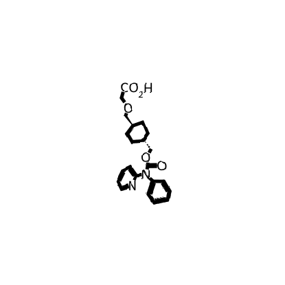 O=C(O)COC[C@H]1CC[C@H](COC(=O)N(c2ccccc2)c2ccccn2)CC1